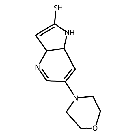 SC1=CC2N=CC(N3CCOCC3)=CC2N1